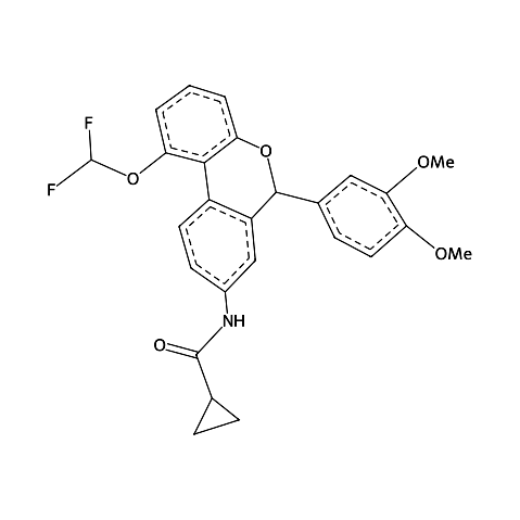 COc1ccc(C2Oc3cccc(OC(F)F)c3-c3ccc(NC(=O)C4CC4)cc32)cc1OC